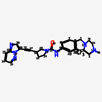 CN1CCN(Cc2ccc(NC(=O)N3CCC(C#Cc4cnc5cccnn45)C3)cc2C(F)(F)F)CC1